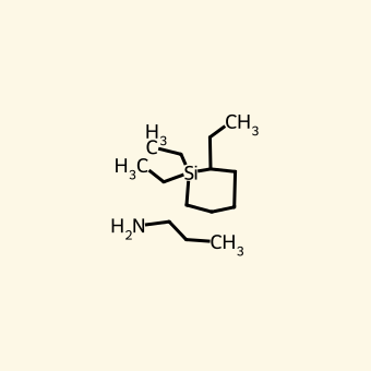 CCC1CCCC[Si]1(CC)CC.CCCN